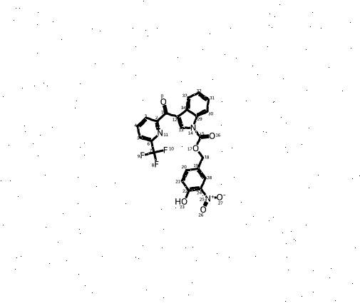 O=C(c1cccc(C(F)(F)F)n1)c1cn(C(=O)OCc2ccc(O)c([N+](=O)[O-])c2)c2ccccc12